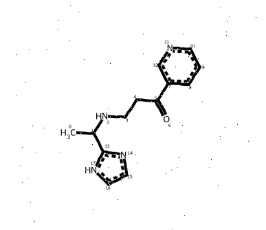 CC(NCCC(=O)c1cccnc1)c1ncc[nH]1